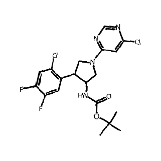 CC(C)(C)OC(=O)NC1CN(c2cc(Cl)ncn2)CC1c1cc(F)c(F)cc1Cl